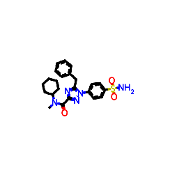 CN(C(=O)c1nc(Cc2ccccc2)n(-c2ccc(S(N)(=O)=O)cc2)n1)C1CCCCC1